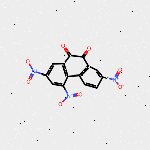 O=C1C(=O)c2cc([N+](=O)[O-])cc([N+](=O)[O-])c2-c2ccc([N+](=O)[O-])cc21